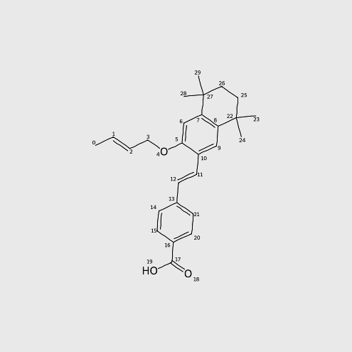 C/C=C/COc1cc2c(cc1/C=C/c1ccc(C(=O)O)cc1)C(C)(C)CCC2(C)C